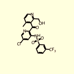 Cc1ccnc(CO)c1C(=O)c1ncc(Cl)cc1NS(=O)(=O)c1cccc(C(F)(F)F)c1